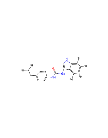 [2H]c1c([2H])c([2H])c2c(NC(=O)Nc3ccc(CC([2H])[2H])cc3)c[nH]c2c1[2H]